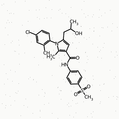 Cc1cc(Cl)ccc1-n1c(CC(C)O)cc(C(=O)Nc2ccc(S(C)(=O)=O)cc2)c1C